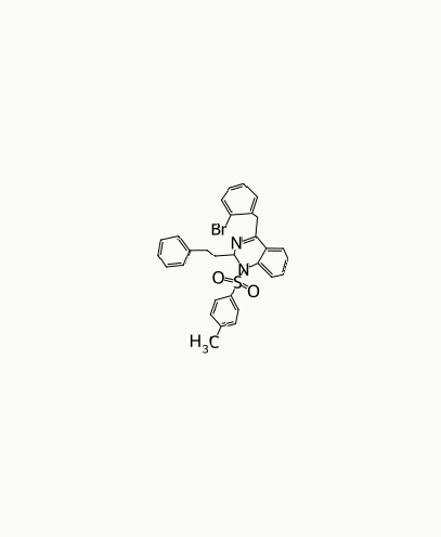 Cc1ccc(S(=O)(=O)N2c3ccccc3C(Cc3ccccc3Br)=NC2CCc2ccccc2)cc1